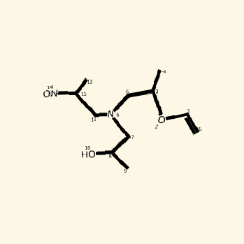 C=COC(C)CN(CC(C)O)CC(C)N=O